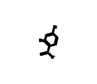 CCc1ccc(S(=O)[O-])cc1.[Na+]